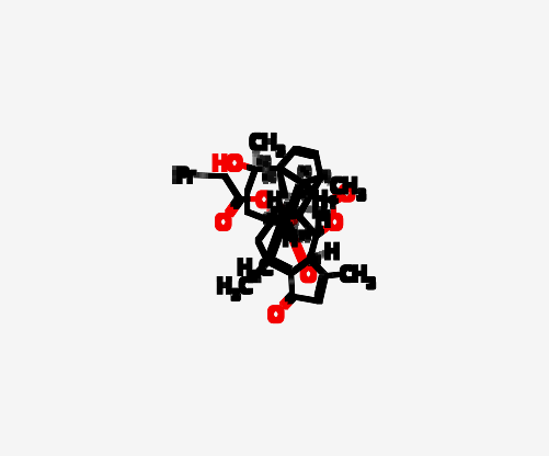 C=C1C(=O)O[C@@H]2[C@@H]3[C@@]4(C=C[C@@]3(C)[C@@]3(C4)C(=O)O[C@@H]4[C@H]5C(C)=CC(=O)C5=C(C)C[C@H](OC(=O)CC(C)C)[C@H]43)[C@](C)(O)CC[C@@H]12